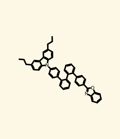 CCCc1ccc2c(c1)c1cc(CCC)ccc1n2-c1ccc(-c2ccccc2-c2ccccc2-c2ccc(-c3nc4ccccc4o3)cc2)cc1